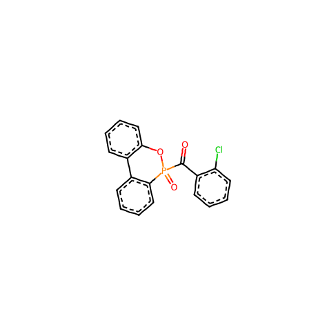 O=C(c1ccccc1Cl)P1(=O)Oc2ccccc2-c2ccccc21